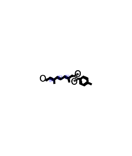 CC(/C=C/C=C(\C)CS(=O)(=O)c1ccc(C)cc1)=C\C=O